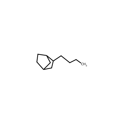 CCCC[C]1CC2CCC1C2